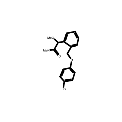 CNC(=O)C(OC)c1ccccc1COc1ccc(C(C)C)cc1